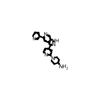 NC1CCN(c2cc(-c3n[nH]c4cnc(-c5cccnc5)cc34)ccn2)CC1